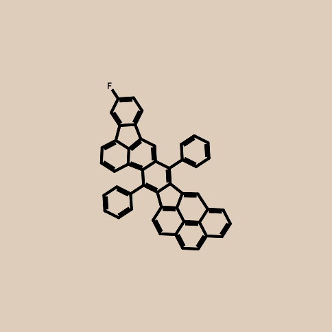 Fc1ccc2c(c1)c1cccc3c4c(-c5ccccc5)c5c6ccc7ccc8cccc9cc(c5c(-c5ccccc5)c4cc2c13)c6c7c89